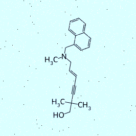 CN(CC=CC#CC(C)(C)CO)Cc1cccc2ccccc12